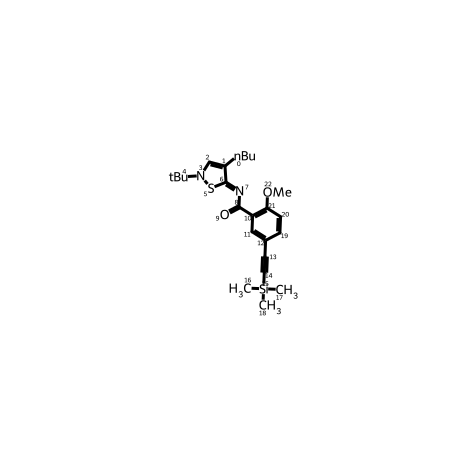 CCCCc1cn(C(C)(C)C)sc1=NC(=O)c1cc(C#C[Si](C)(C)C)ccc1OC